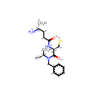 CC(C)[C@@H](C(=O)O)N(Cc1ccccc1)C(=O)[C@H](CS)NC(=O)CC[C@H](N)C(=O)O